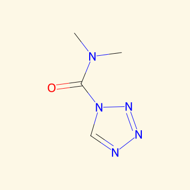 CN(C)C(=O)n1cnnn1